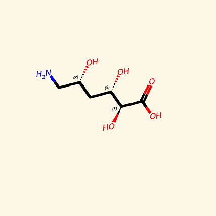 NC[C@H](O)C[C@H](O)[C@H](O)C(=O)O